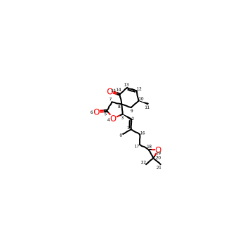 C/C(=C\[C@H]1OC(=O)CC12C[C@H](C)C=CC2=O)CCC1OC1(C)C